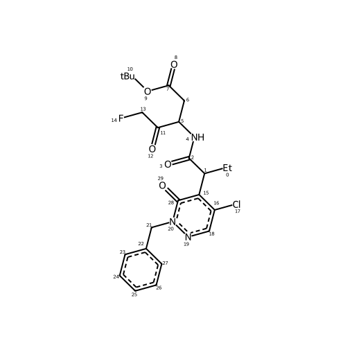 CCC(C(=O)NC(CC(=O)OC(C)(C)C)C(=O)CF)c1c(Cl)cnn(Cc2ccccc2)c1=O